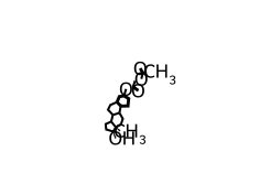 CC(=O)OCC(=O)Oc1ccc2c(c1)CCC1C2CC[C@@]2(C)C1CC[C@@H]2O